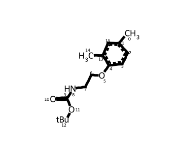 Cc1ccc(OCCNC(=O)OC(C)(C)C)c(C)c1